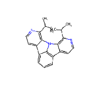 CC(C)c1nccc2c3cccc4c5ccnc(C(C)C)c5n(c12)c34